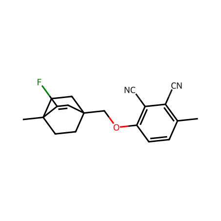 Cc1ccc(OCC23C=C(F)C(C)(CC2)CC3)c(C#N)c1C#N